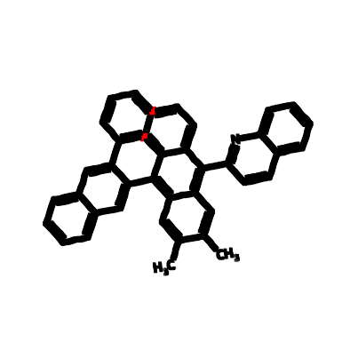 Cc1cc2c(-c3ccc4ccccc4n3)c3ccccc3c(-c3cc4ccccc4cc3-c3ccccc3)c2cc1C